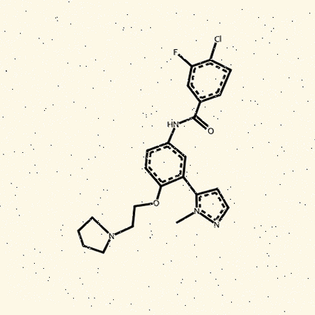 Cn1nccc1-c1cc(NC(=O)c2ccc(Cl)c(F)c2)ccc1OCCN1CCCC1